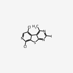 Cc1nc(I)nc2sc3c(Cl)ncc(Cl)c3c12